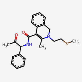 CSCCN1Cc2ccccc2C(C(=O)N[C@H](C(C)=O)c2ccccc2)=C1C